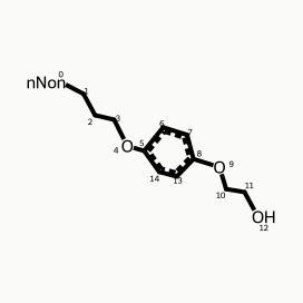 CCCCCCCCCCCCOc1ccc(OCCO)cc1